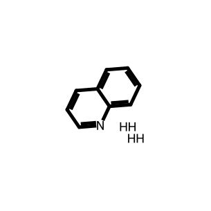 [HH].[HH].c1ccc2ncccc2c1